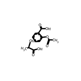 CC(=O)Oc1ccccc1C(=O)O.CC(O)C(=O)O